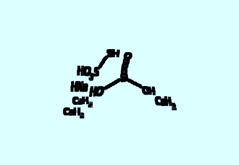 O=S(=O)(O)S.O=[Si](O)O.[CaH2].[CaH2].[CaH2].[NaH]